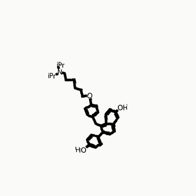 CC(C)N(CCCCCCOc1ccc(Cc2c(-c3ccc(O)cc3)ccc3cc(O)ccc23)cc1)C(C)C